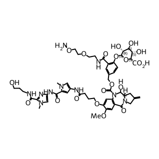 C=C1C[C@H]2C(O)N(C(=O)OCc3ccc(O[C@@H]4O[C@H](C(=O)O)[C@@H](O)[C@H](O)[C@H]4O)c(C(=O)NCCOCCON)c3)c3cc(OCCCC(=O)Nc4cc(C(=O)Nc5cn(C)c(C(=O)NCCCO)n5)n(C)c4)c(OC)cc3C(=O)N2C1